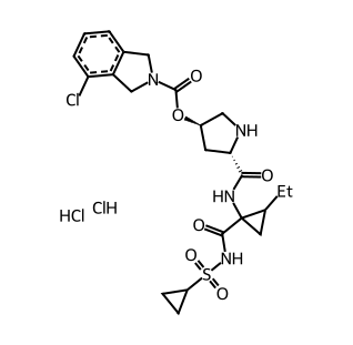 CCC1CC1(NC(=O)[C@@H]1C[C@@H](OC(=O)N2Cc3cccc(Cl)c3C2)CN1)C(=O)NS(=O)(=O)C1CC1.Cl.Cl